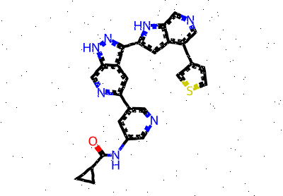 O=C(Nc1cncc(-c2cc3c(-c4cc5c(-c6ccsc6)cncc5[nH]4)n[nH]c3cn2)c1)C1CC1